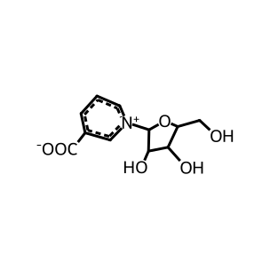 O=C([O-])c1ccc[n+](C2OC(CO)C(O)C2O)c1